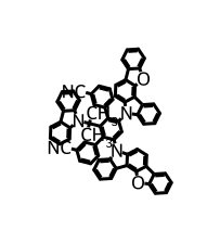 CC(C)(c1c(-c2cccc(C#N)c2)c(-n2c3ccccc3c3c4oc5ccccc5c4ccc32)cc(-n2c3ccccc3c3c4oc5ccccc5c4ccc32)c1-c1cccc(C#N)c1)n1c2ccccc2c2ccccc21